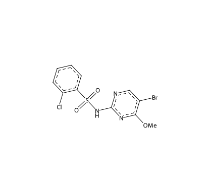 COc1nc(NS(=O)(=O)c2ccccc2Cl)ncc1Br